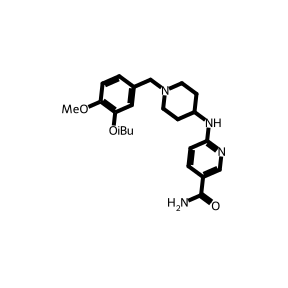 COc1ccc(CN2CCC(Nc3ccc(C(N)=O)cn3)CC2)cc1OCC(C)C